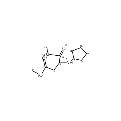 COC(=O)CC(NC1CCCC1)C(=O)OC